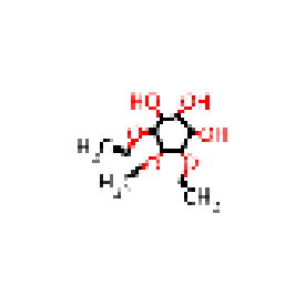 C=COC1C(O)C(O)C(O)C(OC=C)C1OC=C